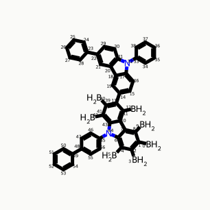 Bc1c(B)c(B)c2c(c1B)c1c(B)c(-c3ccc4c(c3)c3cc(-c5ccccc5)ccc3n4-c3ccccc3)c(B)c(B)c1n2-c1ccc(-c2ccccc2)cc1